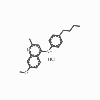 CCCCc1ccc(Nc2cc(C)nc3cc(OC)ccc23)cc1.Cl